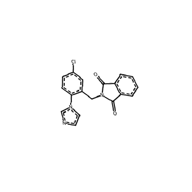 O=C1c2ccccc2C(=O)N1Cc1cc(Cl)ccc1-n1ccnc1